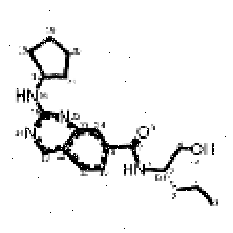 CCC[C@@H](CO)NC(=O)c1ccc2cnc(NC3CCCC3)nc2c1